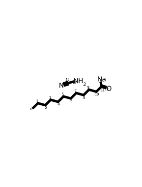 CCCCCCCCCCC[C](=O)[Na].N#CN